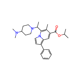 Cc1c(C(=O)OC(C)C)cc2c(-c3ccccc3)ccn2c1C(C)N1CCC(N(C)C)CC1